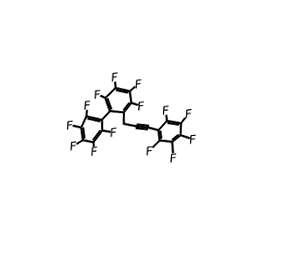 Fc1c(F)c(F)c(C#CCc2c(F)c(F)c(F)c(F)c2-c2c(F)c(F)c(F)c(F)c2F)c(F)c1F